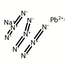 [N-]=[N+]=[N-].[N-]=[N+]=[N-].[N-]=[N+]=[N-].[Na+].[Pb+2]